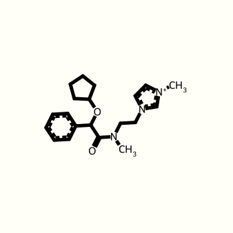 CN(CCn1cc[n+](C)c1)C(=O)C(OC1CCCC1)c1ccccc1